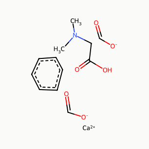 CN(C)CC(=O)O.O=C[O-].O=C[O-].[Ca+2].c1ccccc1